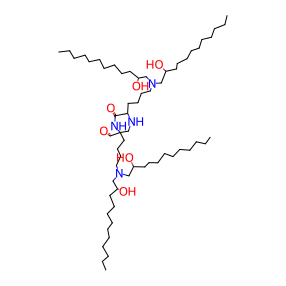 CCCCCCCCCCC(O)CN(CCCCC1NCC(C=O)(CCCCN(CC(O)CCCCCCCCCC)CC(O)CCCCCCCCCC)NC1=O)CC(O)CCCCCCCCCC